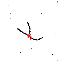 CCCCCCCC/C=C\CCCCCCCC(=O)OC[C@@H](COC(=O)CCCCCCCCCCCCCC)OC(=O)CCCCCCCCCCCCCCC